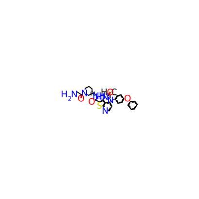 Cc1cc(Oc2ccccc2)ccc1N1C(=O)Nc2c(C(=O)N[C@@H]3CCCN(C(=O)CN)C3)sc3nccc1c23